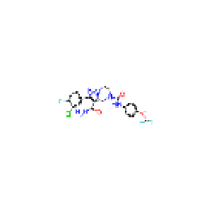 NC(=O)c1c(-c2ccc(F)c(Cl)c2)nn2c1CN(C(=O)Nc1ccc(OC(F)F)cc1)CC2